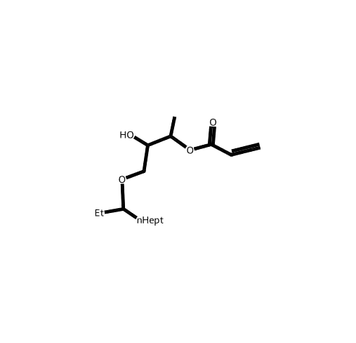 C=CC(=O)OC(C)C(O)COC(CC)CCCCCCC